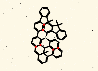 CC1(C)c2ccccc2-c2ccc(-c3ccccc3N(c3ccccc3C3CCC=C4C=CC=C(c5ccccc5)C43C)c3cccc4c3-c3ccccc3C4(C)C)cc21